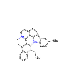 Cc1c2ccccc2c(CC(C)(C)C)c2c1c1c3c(ccc4c5cc(C(C)(C)C)ccc5n2c43)cc[n+]1C